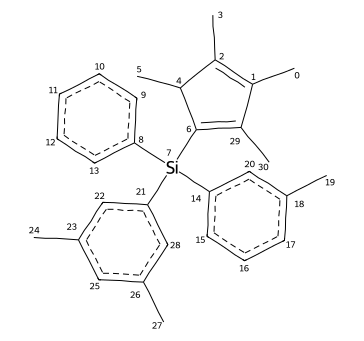 CC1=C(C)C(C)C([Si](c2ccccc2)(c2cccc(C)c2)c2cc(C)cc(C)c2)=C1C